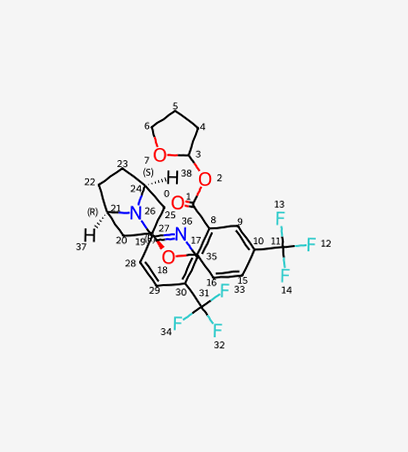 O=C(OC1CCCO1)c1cc(C(F)(F)F)ccc1O[C@H]1C[C@H]2CC[C@@H](C1)N2c1ccc(C(F)(F)F)cn1